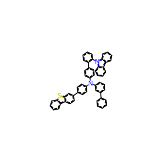 c1ccc(-c2cccc(N(c3ccc(-c4ccc5c(c4)sc4ccccc45)cc3)c3ccc(-c4ccccc4-n4c5ccccc5c5ccccc54)cc3)c2)cc1